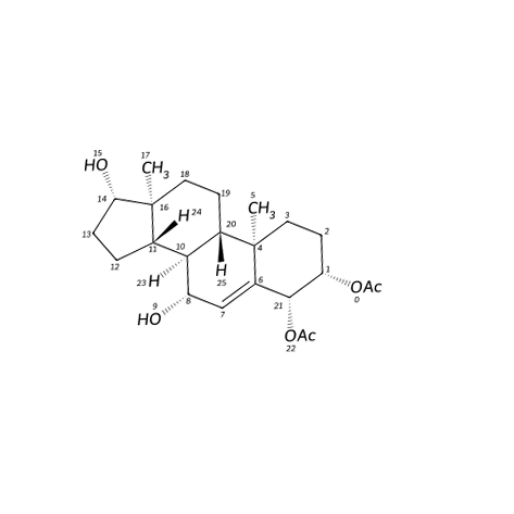 CC(=O)O[C@H]1CC[C@@]2(C)C(=C[C@H](O)[C@H]3[C@@H]4CC[C@H](O)[C@@]4(C)CC[C@@H]32)[C@H]1OC(C)=O